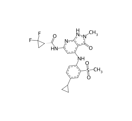 Cn1[nH]c2nc(NC(=O)[C@@H]3CC3(F)F)cc(Nc3ccc(C4CC4)cc3S(C)(=O)=O)c2c1=O